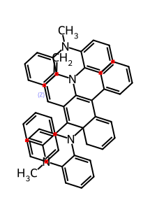 C=C/C=C\C1=C(c2ccccc2)C2(N3c4ccccc4N(C)c4ccccc43)CC=CC=C2C(c2ccccc2)=C1N1c2ccccc2N(C)c2ccccc21